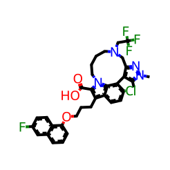 Cc1c2c(nn1C)CN(CC(F)(F)F)CCCCn1c(C(=O)O)c(CCCOc3cccc4cc(F)ccc34)c3ccc(Cl)c-2c31